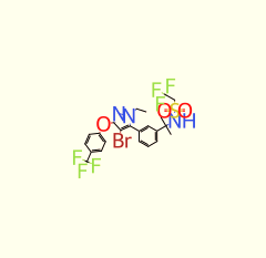 CCn1nc(Oc2ccc(C(F)(F)F)cc2)c(Br)c1-c1cccc(C(C)(C)NS(=O)(=O)CC(F)(F)F)c1